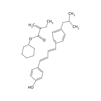 C=C(CC)C(=O)OC1CCCCC1.CC(C)Cc1ccc(C=CC=Cc2ccc(O)cc2)cc1